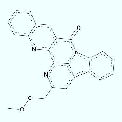 COOCc1cc2c3ccccc3n3c(=O)c4cc5ccccc5nc4c(n1)c23